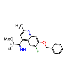 CC[C@H](OC)C(=N)c1cc(C)nc2cc(OCc3ccccc3)c(F)cc12